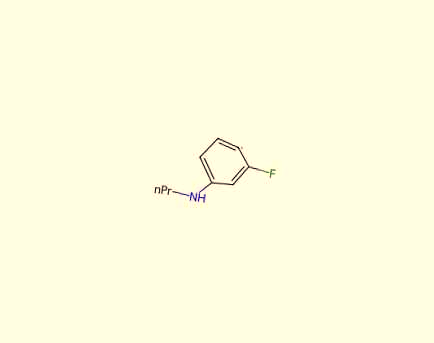 CCCNc1cc[c]c(F)c1